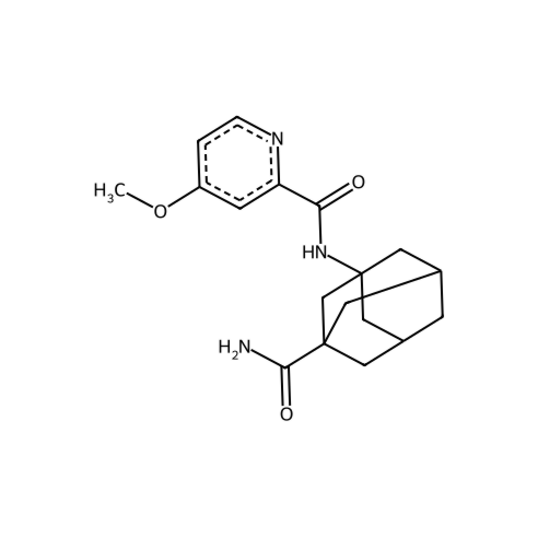 COc1ccnc(C(=O)NC23CC4CC(C2)CC(C(N)=O)(C4)C3)c1